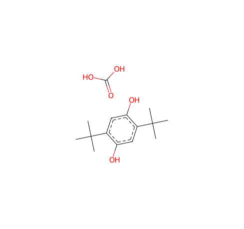 CC(C)(C)c1cc(O)c(C(C)(C)C)cc1O.O=C(O)O